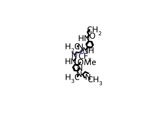 C=CC(=O)Nc1cccc(N/C(N=C)=C(/C=N\CNc2ccc(N(C)C3CCN(C)C3)nc2OC)C(F)(F)F)c1